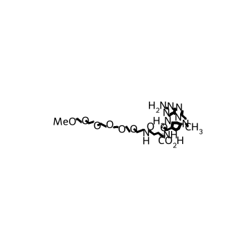 COCCOCCOCCOCCOCCOCCNC(=O)CC[C@H](NC(=O)c1ccc(N(C)Cc2cnc3nc(N)nc(N)c3n2)cc1)C(=O)O